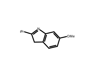 COc1ccc2c(c1)N=C(C(C)C)C2